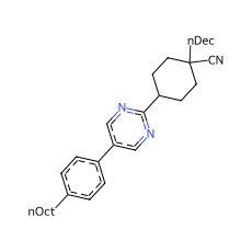 CCCCCCCCCCC1(C#N)CCC(c2ncc(-c3ccc(CCCCCCCC)cc3)cn2)CC1